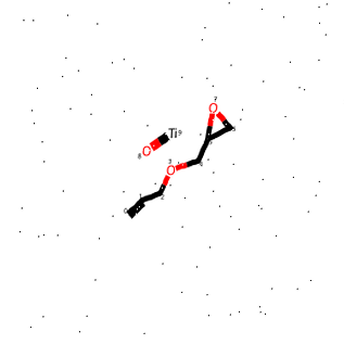 C=CCOCC1CO1.[O]=[Ti]